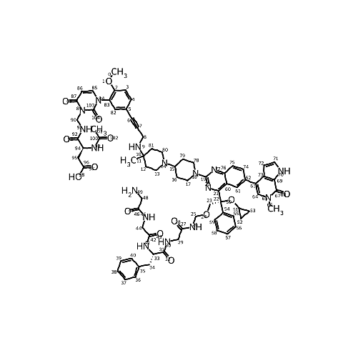 COc1ccc(C#CCNC2(C)CCN(C3CCN(c4nc([C@@](COCNC(=O)CNC(=O)[C@H](Cc5ccccc5)NC(=O)CNC(=O)CN)(OC5CC5)c5ccccc5)c5cc(-c6cn(C)c(=O)c7[nH]ccc67)ccc5n4)CC3)CC2)cc1-n1ccc(=O)n(CNC(=O)[C@H](CC(=O)O)NC(C)=O)c1=O